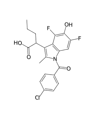 CCCC(C(=O)O)c1c(C)n(C(=O)c2ccc(Cl)cc2)c2cc(F)c(O)c(F)c12